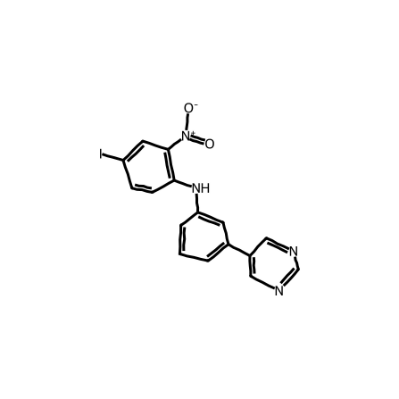 O=[N+]([O-])c1cc(I)ccc1Nc1cccc(-c2cncnc2)c1